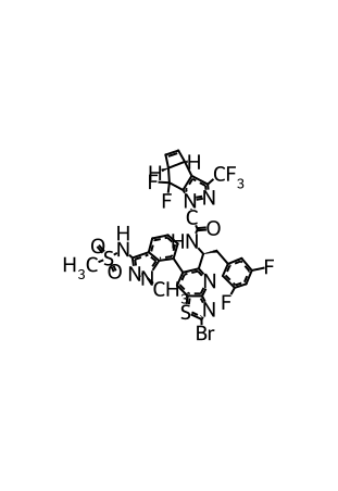 Cn1nc(NS(C)(=O)=O)c2cccc(-c3cc4sc(Br)nc4nc3[C@H](Cc3cc(F)cc(F)c3)NC(=O)Cn3nc(C(F)(F)F)c4c3C(F)(F)[C@@H]3C=C[C@H]43)c21